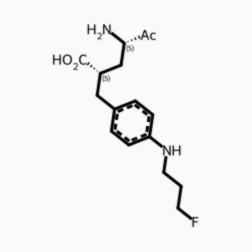 CC(=O)[C@@H](N)C[C@H](Cc1ccc(NCCCF)cc1)C(=O)O